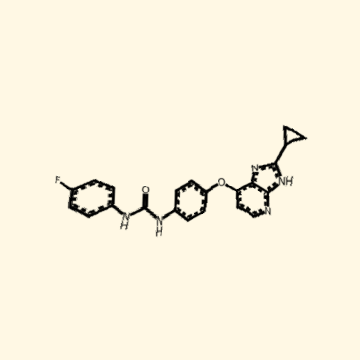 O=C(Nc1ccc(F)cc1)Nc1ccc(Oc2ccnc3[nH]c(C4CC4)nc23)cc1